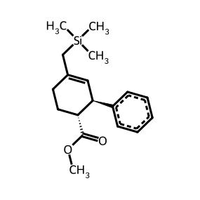 COC(=O)[C@@H]1CCC(C[Si](C)(C)C)=C[C@H]1c1ccccc1